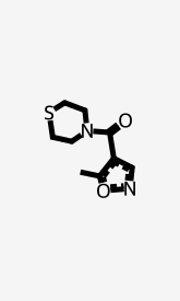 Cc1oncc1C(=O)N1CCSCC1